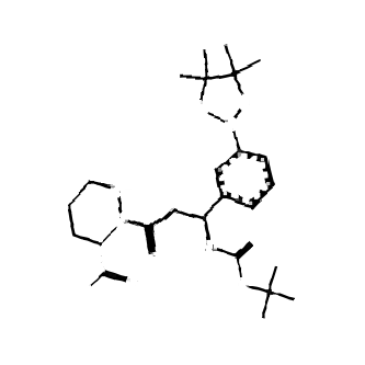 CC(C)(C)OC(=O)NC(CC(=O)N1NCCC[C@H]1C(=O)O)c1cccc(B2OC(C)(C)C(C)(C)O2)c1